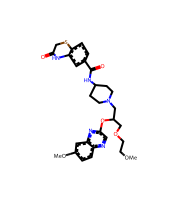 COCCOCC(CN1CCC(NC(=O)c2ccc3c(c2)NC(=O)CS3)CC1)Oc1cnc2ccc(OC)cc2n1